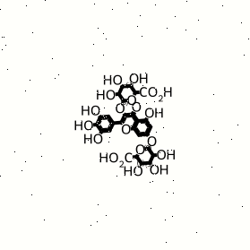 O=C(O)C1O[C@@H](Oc2c(-c3cc(O)c(O)c(O)c3)oc3cc(O[C@@H]4OC(C(=O)O)[C@@H](O)[C@H](O)C4O)cc(O)c3c2=O)C(O)C(O)[C@@H]1O